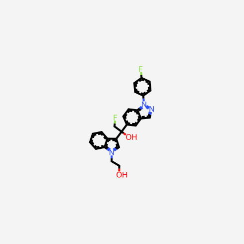 OCCn1cc(C(O)(CF)c2ccc3c(cnn3-c3ccc(F)cc3)c2)c2ccccc21